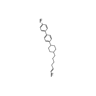 F/C=C/CCCCC1CCC(c2ccc(-c3ccc(F)cc3)cc2)CC1